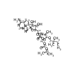 CCC(C)(C)COC(=O)[C@H](C)N[P@@](=O)(OCOC(=O)OC(C)C)OC[C@H]1O[C@@](C#N)(c2ccc3c(N)ncnn23)[C@H](O)[C@@H]1O